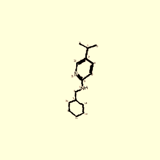 CC(C)c1ccc(NCC2CCCCC2)nc1